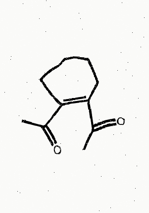 CC(=O)C1=C(C(C)=O)CCCC1